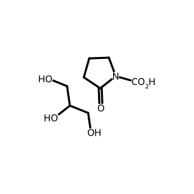 O=C(O)N1CCCC1=O.OCC(O)CO